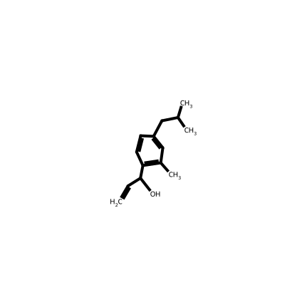 C=CC(O)c1ccc(CC(C)C)cc1C